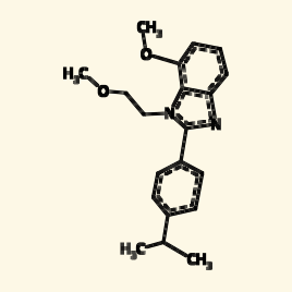 COCCn1c(-c2ccc(C(C)C)cc2)nc2cccc(OC)c21